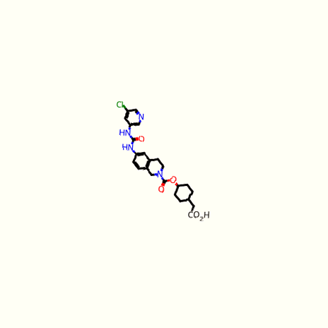 O=C(O)CC1CCC(OC(=O)N2CCc3cc(NC(=O)Nc4cncc(Cl)c4)ccc3C2)CC1